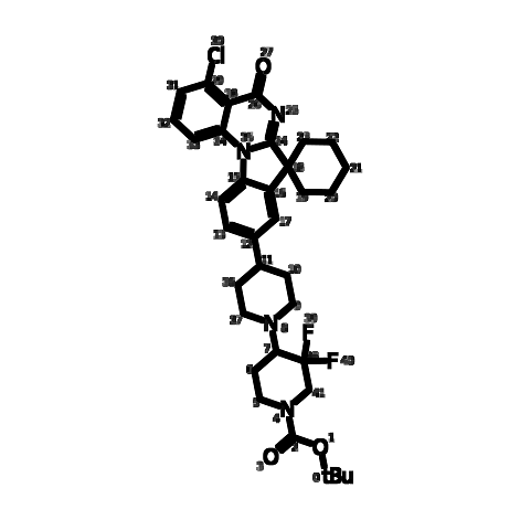 CC(C)(C)OC(=O)N1CCC(N2CCC(c3ccc4c(c3)C3(CCCCC3)c3nc(=O)c5c(Cl)cccc5n3-4)CC2)C(F)(F)C1